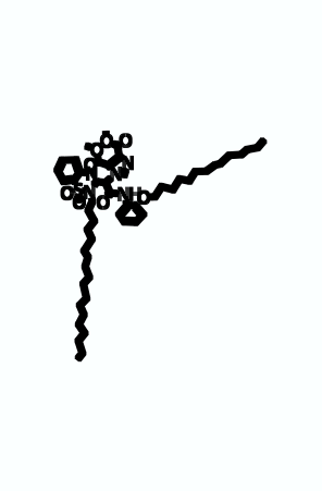 CCCCCCCCCCCCCCCCCCN1C(C(C(=O)Nc2ccccc2OCCCCCCCCCCCCCC)n2cnc(C(=O)OC)c2C(=O)OC)=Nc2ccccc2S1(=O)=O